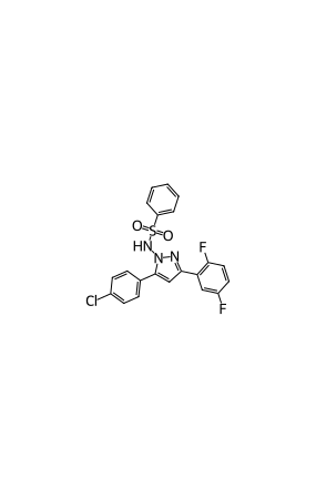 O=S(=O)(Nn1nc(-c2cc(F)ccc2F)cc1-c1ccc(Cl)cc1)c1ccccc1